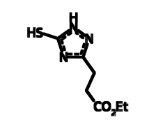 CCOC(=O)CCc1n[nH]c(S)n1